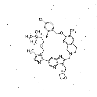 Cc1nnc(-c2cnc3c(c2)nc(CN2CCc4cc(C(F)(F)F)c(OCc5ccc(Cl)cc5F)nc4C2)n3C[C@@H]2CCO2)n1COCC[Si](C)(C)C